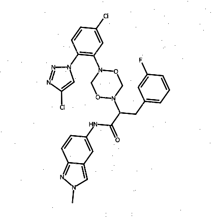 Cn1cc2cc(NC(=O)C(Cc3cccc(F)c3)N3CON(c4cc(Cl)ccc4-n4cc(Cl)nn4)CO3)ccc2n1